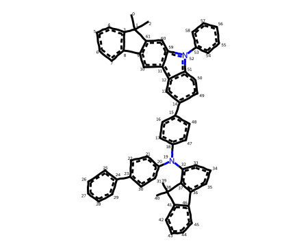 CC1(C)c2ccccc2-c2cc3c4cc(-c5ccc(N(c6ccc(-c7ccccc7)cc6)c6cccc7c6C(C)(C)c6ccccc6-7)cc5)ccc4n(-c4ccccc4)c3cc21